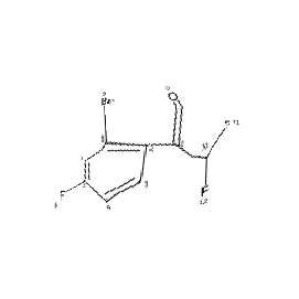 O=C(c1ccc(F)cc1Br)C(F)F